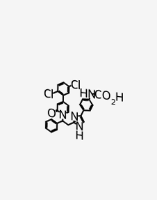 O=C(O)Nc1ccc(-c2c[nH]c(CC(c3ccccc3)n3ccc(-c4cc(Cl)ccc4Cl)cc3=O)n2)cc1